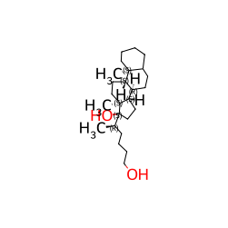 C[C@H](CCCCO)[C@@]1(O)CC[C@H]2[C@@H]3CCC4CCCC[C@]4(C)[C@H]3CC[C@@]21C